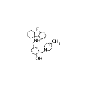 CN1CCN(Cc2cc(CNC3(c4ccccc4F)CCCCC3)ccc2O)CC1